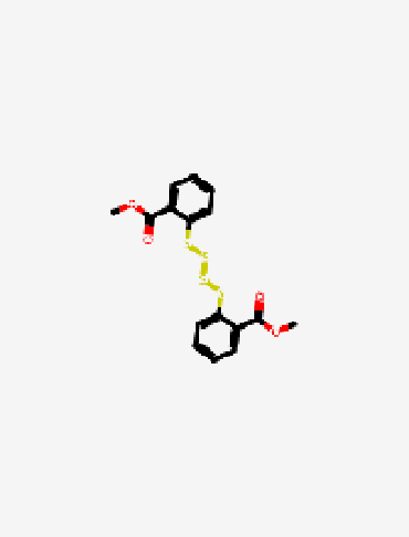 COC(=O)c1ccccc1SSSSc1ccccc1C(=O)OC